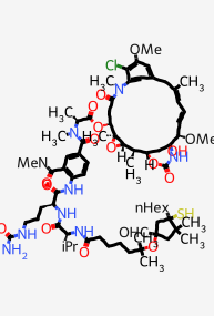 CCCCCCC1(S)CC(C=O)(OC(C)(C)CCCCC(=O)N[C@H](C(=O)N[C@@H](CCCNC(N)=O)C(=O)Nc2ccc(C(=O)N(C)[C@@H](C)C(=O)O[C@H]3CC(=O)N(C)c4cc(cc(OC)c4Cl)C/C(C)=C/C=C/[C@@H](OC)[C@@]4(O)C[C@H](OC(=O)N4)[C@@H](C)[C@@H]4O[C@@]34C)cc2C(=O)NC)C(C)C)CC1(C)C